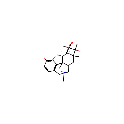 CO[C@H]1[C@@H]2Oc3c(O)ccc4c3C23CCN(C)C(C4)C3CC1(C)C(C)(O)C(C)(C)C